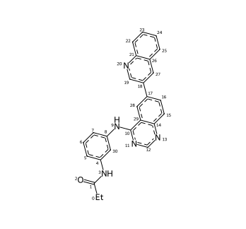 CCC(=O)Nc1cccc(Nc2ncnc3ccc(-c4cnc5ccccc5c4)cc23)c1